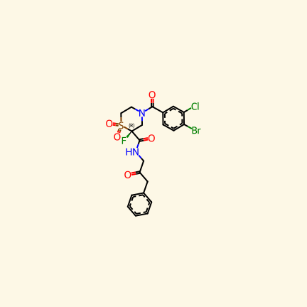 O=C(CNC(=O)[C@@]1(F)CN(C(=O)c2ccc(Br)c(Cl)c2)CCS1(=O)=O)Cc1ccccc1